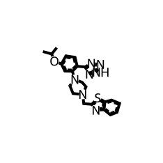 CC(C)Oc1ccc(-c2nn[nH]n2)c(N2CCN(Cc3nc4ccccc4s3)CC2)c1